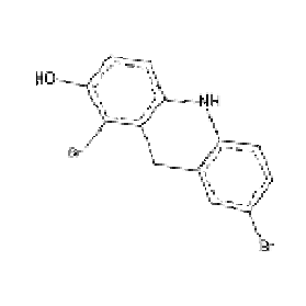 Oc1ccc2c(c1Br)Cc1cc(Br)ccc1N2